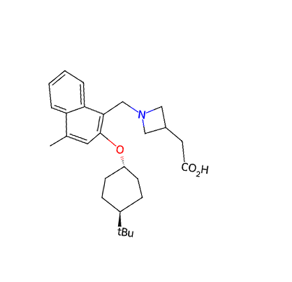 Cc1cc(O[C@H]2CC[C@H](C(C)(C)C)CC2)c(CN2CC(CC(=O)O)C2)c2ccccc12